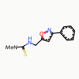 CNC(=S)NCc1cc(-c2ccccc2)no1